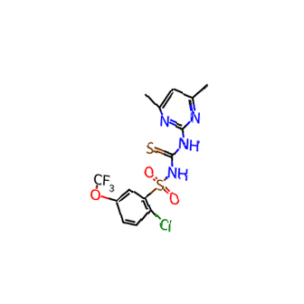 Cc1cc(C)nc(NC(=S)NS(=O)(=O)c2cc(OC(F)(F)F)ccc2Cl)n1